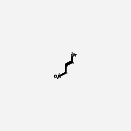 CCCC=CC[N+](=O)[O-]